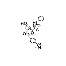 Cc1ncsc1-c1ccc(CNC(=O)[C@@H]2C[C@@H](O)CN2C(=O)[C@@H](NC(=O)Cc2ccccc2)C(C)(C)C)cc1